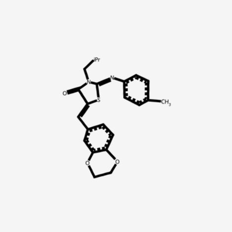 Cc1ccc(N=C2SC(=Cc3ccc4c(c3)OCCO4)C(=O)N2CC(C)C)cc1